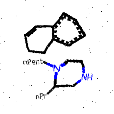 C1=Cc2ccccc2CC1.CCCCCN1CCNCC1CCC